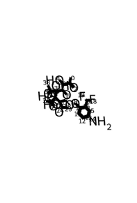 CC(=O)C(O)[C@H]1O[C@@H](OOc2ccc(N)cc2C(F)F)[C@@](O)(C(C)=O)[C@](O)(C(C)=O)[C@]1(O)C(C)=O